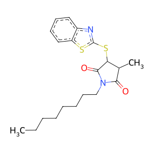 CCCCCCCCN1C(=O)C(C)C(Sc2nc3ccccc3s2)C1=O